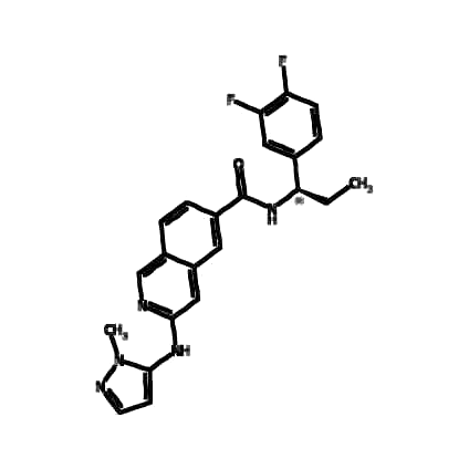 CC[C@@H](NC(=O)c1ccc2cnc(Nc3ccnn3C)cc2c1)c1ccc(F)c(F)c1